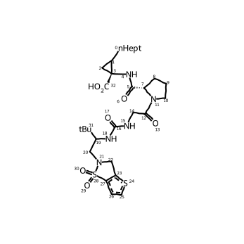 CCCCCCCC1C[C@]1(NC(=O)[C@@H]1CCCN1C(=O)CNC(=O)NC(CN1Cc2sccc2S1(=O)=O)C(C)(C)C)C(=O)O